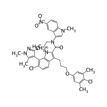 Cc1cc(OCCCc2c3n(c4c(-c5c(C)nn(C)c5C)c(Cl)ccc24)[C@H](C)CN(c2cn(C)c4ccc([N+](=O)[O-])cc24)C3=O)cc(C)c1Cl